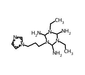 CCN1C(N)N(CC)C(N)N(CCCn2ccnc2)C1N